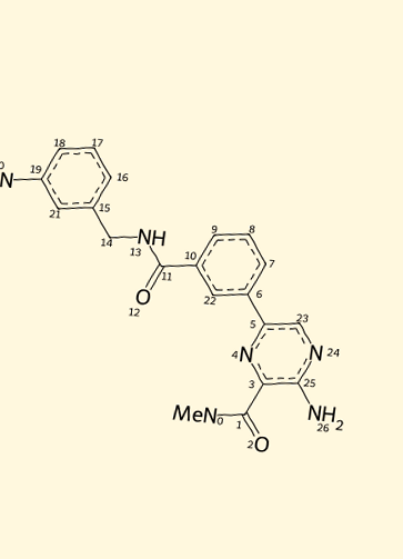 CNC(=O)c1nc(-c2cccc(C(=O)NCc3cccc(N)c3)c2)cnc1N